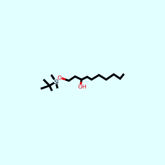 CCCCCCCC(O)CCO[Si](C)(C)C(C)(C)C